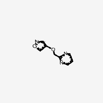 [c]1nocc1OCc1ncccn1